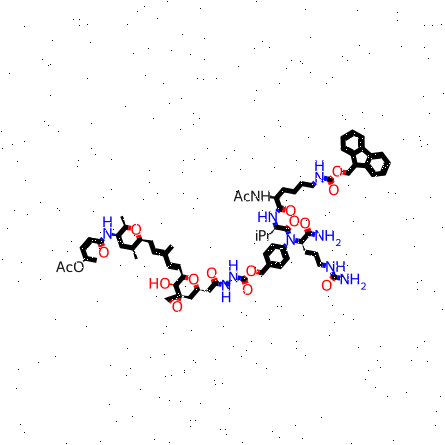 CC(=O)N[C@@H](CCCCNC(=O)OCC1c2ccccc2-c2ccccc21)C(=O)N[C@H](C(=O)N(c1ccc(COC(=O)NNC(=O)C[C@@H]2C[C@@]3(CO3)[C@H](O)[C@@H](/C=C/C(C)=C/C[C@@H]3O[C@H](C)[C@H](NC(=O)/C=C\[C@H](C)OC(C)=O)C[C@@H]3C)O2)cc1)[C@@H](CCCNC(N)=O)C(N)=O)C(C)C